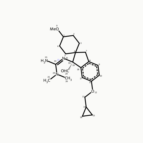 COC1CCC2(CC1)Cc1ccc(OCC3CC3)cc1[C@@]2(C=O)/N=C(/N)N(C)C